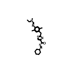 CCN(C)/C=N/c1cc(C)c(Cc2nc(C(=O)N=NC3CCCCC3)cs2)cc1C